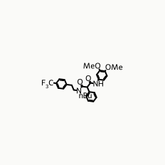 CCCCN(CCc1ccc(C(F)(F)F)cc1)C(=O)C(C(=O)Nc1ccc(OC)c(OC)c1)c1ccccc1